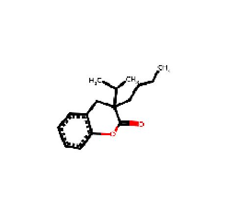 CCCCC1(C(C)C)Cc2ccccc2OC1=O